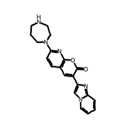 O=c1oc2nc(N3CCCNCC3)ccc2cc1-c1cn2ccccc2n1